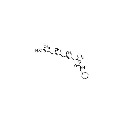 CC(C)=CCC/C(C)=C/CC/C(C)=C/CCC(C)OC(=O)NCC1CCCCC1